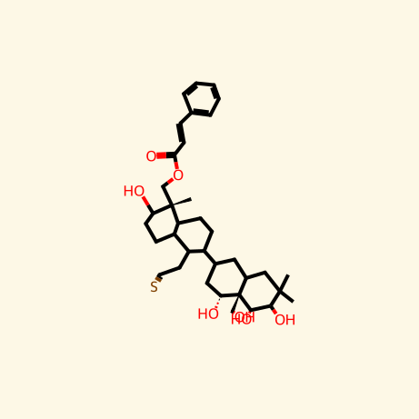 CC1(C)CC2CC(C3CCC4C(CCC(O)[C@]4(C)COC(=O)/C=C/c4ccccc4)C3CC=S)C[C@@H](O)[C@@]2(CO)[C@@H](O)C1O